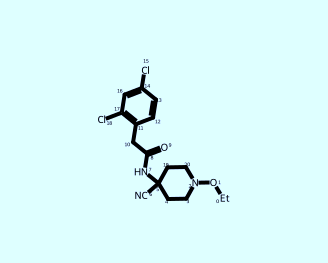 CCON1CCC(C#N)(NC(=O)Cc2ccc(Cl)cc2Cl)CC1